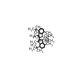 CC1=C(C)[CH]([Zr]([Cl])([Cl])([CH]2C(C)=C(C)c3c(C(C)(C)C)ccc(C)c32)[SiH](C)C)c2c(C)ccc(C(C)(C)C)c21